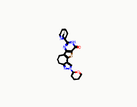 O=c1[nH]c(C2CC3CCN2CC3)nc2c3c(sc12)-c1cn(C2CCCCO2)nc1CCC3